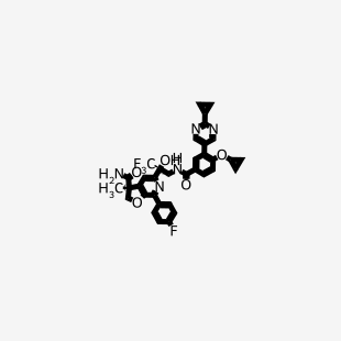 C[C@]1(C(N)=O)COc2c1cc([C@@](O)(CNC(=O)c1ccc(OC3CC3)c(-c3cnc(C4CC4)nc3)c1)C(F)(F)F)nc2-c1ccc(F)cc1